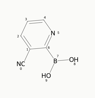 N#Cc1cccnc1B(O)O